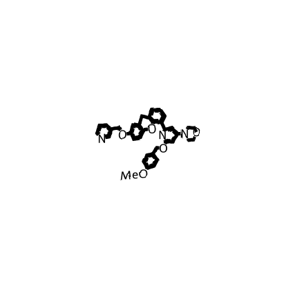 COc1ccc(COc2cc(N3CCOCC3)cc(-c3cccc4c3Oc3ccc(OCc5cccnc5)cc3C4)n2)cc1